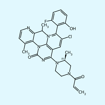 C=CC(=O)N1CCN(c2nc(=O)n3c4c2cc(Cl)c(-c2c(O)cccc2F)[n+]4C(C)c2nccc(C)c2-3)[C@@H](C)C1